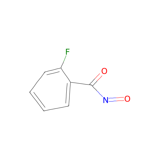 O=NC(=O)c1ccccc1F